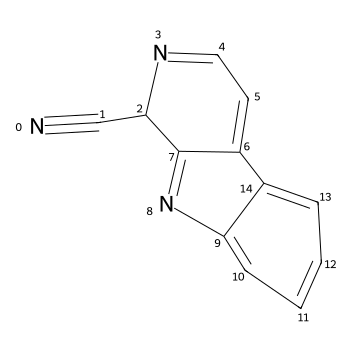 N#CC1N=CC=C2C1=Nc1ccccc12